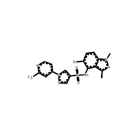 CCc1ccc2c(c(C)nn2C)c1NS(=O)(=O)c1cnn(-c2ccnc(C(F)(F)F)c2)c1